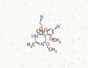 CCO/C1=N/C=C(/C)CN/C(C)=C(/C(=O)OCCC#N)C(c2ccc(C#N)cc2OC)C1